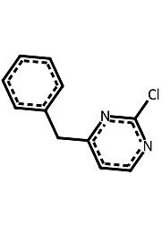 Clc1nccc(Cc2ccccc2)n1